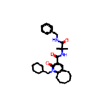 CC(C)(NC(=O)c1cc2c(n(CC3CCCCC3)c1=O)CCCCCC2)C(=O)NCc1ccccc1